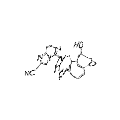 N#Cc1cn2c(NCc3c(F)ccc4c3C(O)CO4)nccc2n1